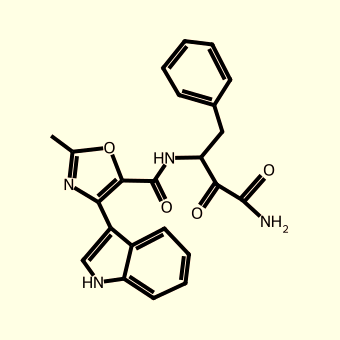 Cc1nc(-c2c[nH]c3ccccc23)c(C(=O)NC(Cc2ccccc2)C(=O)C(N)=O)o1